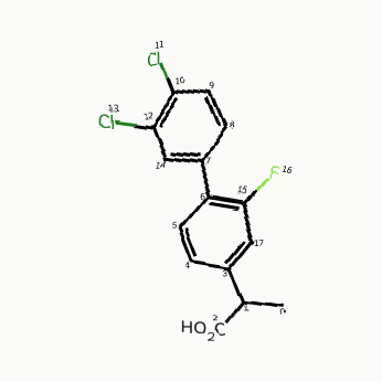 CC(C(=O)O)c1ccc(-c2ccc(Cl)c(Cl)c2)c(F)c1